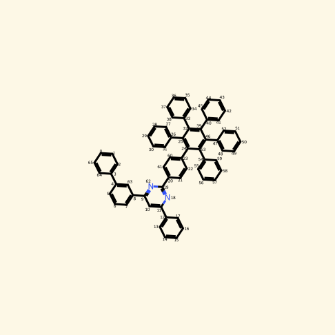 c1ccc(-c2cccc(-c3cc(-c4ccccc4)nc(-c4ccc(-c5c(-c6ccccc6)c(-c6ccccc6)c(-c6ccccc6)c(-c6ccccc6)c5-c5ccccc5)cc4)n3)c2)cc1